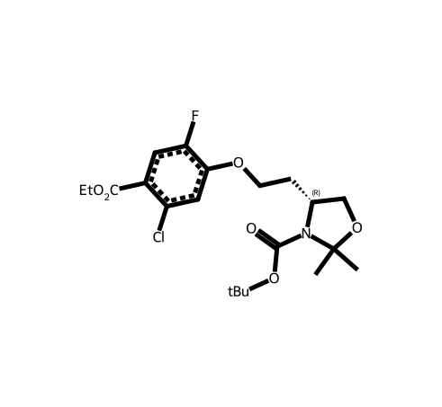 CCOC(=O)c1cc(F)c(OCC[C@@H]2COC(C)(C)N2C(=O)OC(C)(C)C)cc1Cl